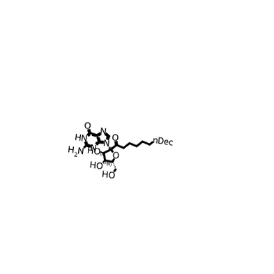 CCCCCCCCCCCCCCCC(=O)[C@@]1(n2cnc3c(=O)[nH]c(N)nc32)O[C@H](CO)[C@@H](O)[C@H]1O